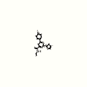 C=C(NCC)c1cc(-c2ccc(F)cc2)nc(-c2cccs2)n1